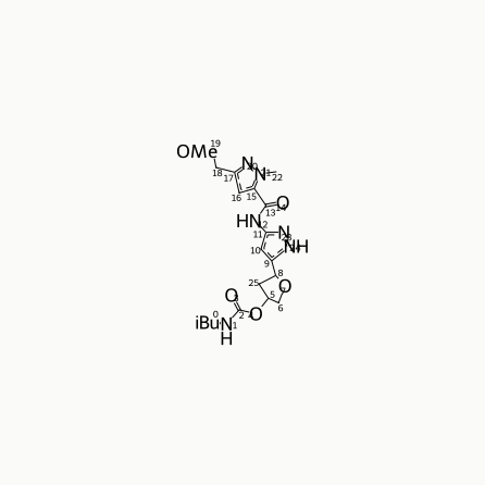 CC[C@H](C)NC(=O)OC1COC(c2cc(NC(=O)c3cc(COC)nn3C)n[nH]2)C1